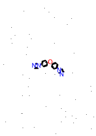 c1cn(-c2ccc(Oc3ccc(-n4ccnc4)cc3)cc2)cn1